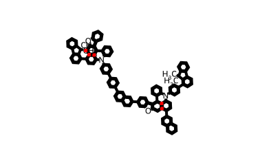 CC1(C)c2ccccc2-c2cccc(-c3ccc(N(c4ccc(-c5ccc(-c6ccc7ccc(-c8ccc9c(c8)oc8cccc(-c%10ccccc%10N(c%10ccc(-c%11ccc%12ccccc%12c%11)cc%10)c%10ccc(-c%11cccc%12c%11C(C)(C)c%11ccccc%11-%12)cc%10)c89)cc7c6)cc5)cc4)c4ccccc4-c4cccc5oc6ccccc6c45)cc3)c21